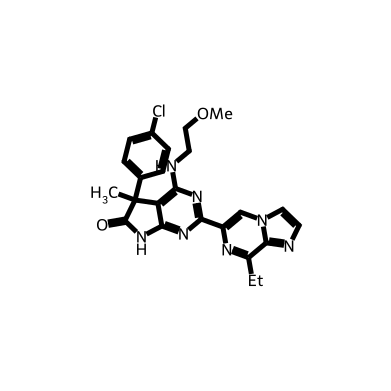 CCc1nc(-c2nc(NCCOC)c3c(n2)NC(=O)C3(C)c2ccc(Cl)cc2)cn2ccnc12